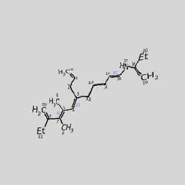 C=CC/C(=C\C(C)=C(/C)C(=C)CC)CCC/C=C/NC(=C)CC